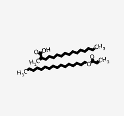 C=C(CCCCCCCCCCCCCC)C(=O)O.C=CC(=O)OCCCCCCCCCCCCCCCC